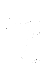 CCc1ccc(C(/N=C(\C)Nc2cc(-c3cccc(OC)c3)sc2C(=O)O)=C(/C)CC(C)C)cc1CC